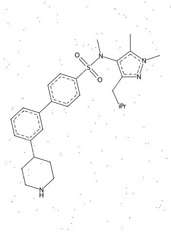 Cc1c(N(C)S(=O)(=O)c2ccc(-c3cccc(C4CCNCC4)c3)cc2)c(CC(C)C)nn1C